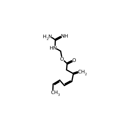 C=C(/C=C\C=C/C)CC(=O)OCNC(=N)N